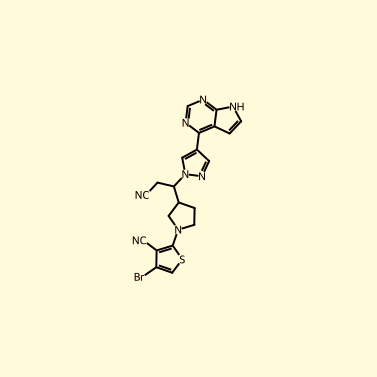 N#CCC(C1CCN(c2scc(Br)c2C#N)C1)n1cc(-c2ncnc3[nH]ccc23)cn1